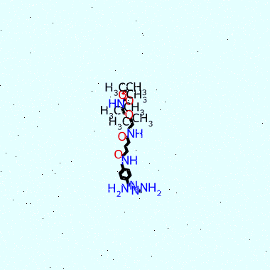 CC(C)(COC(C)(C)CCNC(=O)CCCC(=O)NCc1ccc(/C(N)=N/N=C\N)cc1)NC(=O)OC(C)(C)C